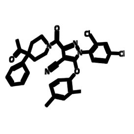 CC(=O)C1(c2ccccc2)CCN(C(=O)c2nn(-c3ccc(Cl)cc3Cl)c(Oc3ccc(C)cc3C)c2C#N)CC1